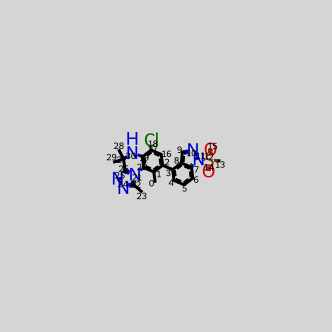 Cc1c(-c2cccc3c2cnn3S(C)(=O)=O)cc(Cl)c2c1-n1c(C)nnc1C(C)(C)N2